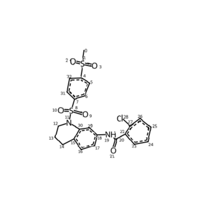 CS(=O)(=O)c1ccc(S(=O)(=O)N2CCCc3ccc(NC(=O)c4ccccc4Cl)cc32)cc1